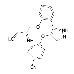 C=CC(=N)COc1ccccc1-c1[nH]ncc1Oc1ccc(C#N)cc1